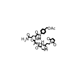 CC(=O)OCc1ccc(NC(=O)[C@H](CCC(N)=O)NC(=O)[C@H](C)NC(=O)[C@@H](CC(C)C)NC(=O)CCN2C(=O)C=CC2=O)cc1